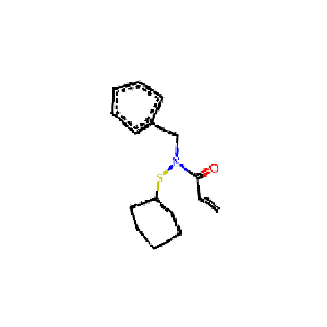 C=CC(=O)N(Cc1ccccc1)SC1CCCCC1